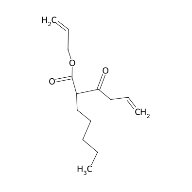 C=CCOC(=O)C(CCCCC)C(=O)CC=C